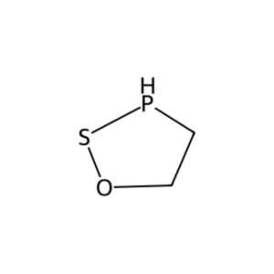 C1CPSO1